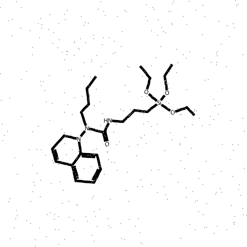 CCCCN(C(=O)NCCC[Si](OCC)(OCC)OCC)N1CC=Cc2ccccc21